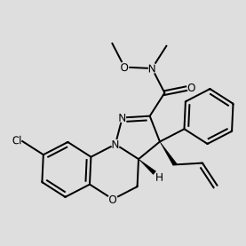 C=CC[C@]1(c2ccccc2)C(C(=O)N(C)OC)=NN2c3cc(Cl)ccc3OC[C@H]21